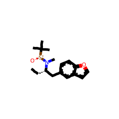 CC[C@@H](Cc1ccc2occc2c1)N(C)[S@@+]([O-])C(C)(C)C